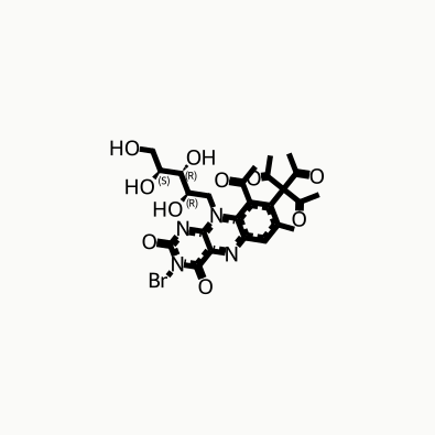 CC(=O)c1c(C(C(C)=O)(C(C)=O)C(C)=O)c(C)cc2nc3c(=O)n(Br)c(=O)nc-3n(C[C@@H](O)[C@@H](O)[C@@H](O)CO)c12